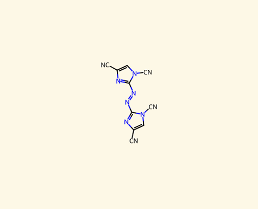 N#Cc1cn(C#N)c(/N=N/c2nc(C#N)cn2C#N)n1